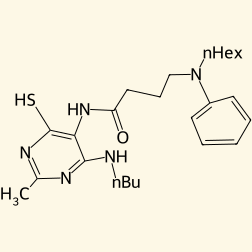 CCCCCCN(CCCC(=O)Nc1c(S)nc(C)nc1NCCCC)c1ccccc1